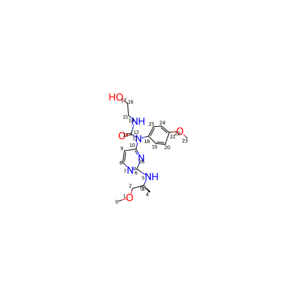 COC[C@H](C)Nc1nccc(N(C(=O)NCCO)c2ccc(OC)cc2)n1